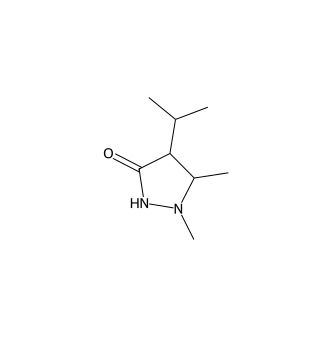 CC(C)C1C(=O)NN(C)C1C